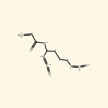 C=CC(=O)OC(CCCN=C=O)N=C=O